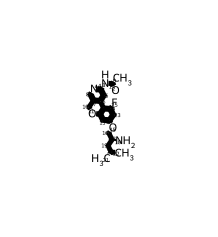 CC(=O)Nc1cc2c(cn1)COc1cc(OC[C@@H](N)CC(C)C)cc(F)c1-2